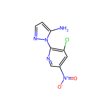 Nc1ccnn1-c1ncc([N+](=O)[O-])cc1Cl